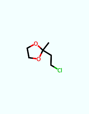 CC1(CCCl)OCCO1